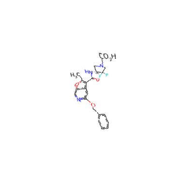 Cc1oc2cnc(OCc3ccccc3)cc2c1C(=O)N[C@@H]1CN(C(=O)O)CC1(F)F